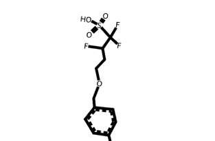 Cc1ccc(COCCC(F)C(F)(F)S(=O)(=O)O)cc1